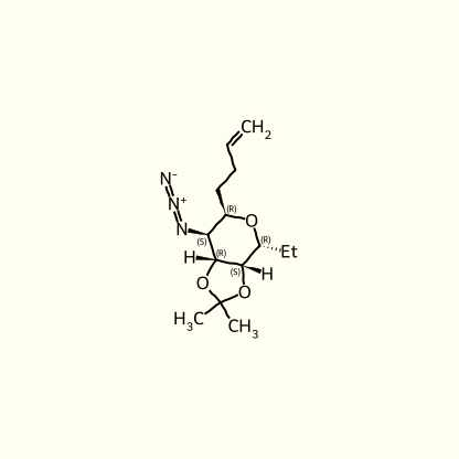 C=CCC[C@H]1O[C@H](CC)[C@@H]2OC(C)(C)O[C@@H]2[C@H]1N=[N+]=[N-]